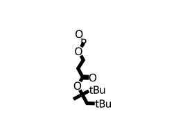 CC(C)(C)CC(C)(OC(=O)CCOP=O)C(C)(C)C